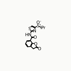 CC(C)[S+]([O-])c1csc(NC(=O)c2cccc3c2OC(=O)C3)n1